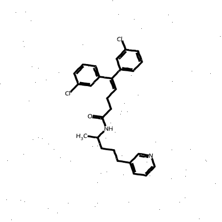 CC(CCCc1cccnc1)NC(=O)CCC=C(c1cccc(Cl)c1)c1cccc(Cl)c1